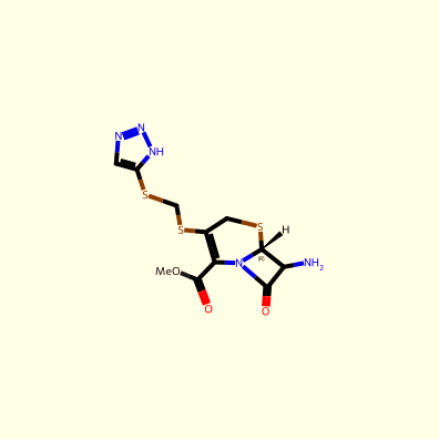 COC(=O)C1=C(SCSc2cnn[nH]2)CS[C@@H]2C(N)C(=O)N12